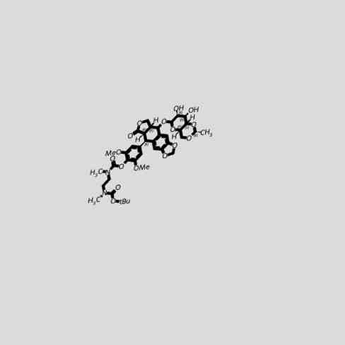 COc1cc([C@@H]2c3cc4c(cc3C(OC3O[C@@H]5CO[C@@H](C)O[C@H]5[C@H](O)[C@H]3O)[C@H]3COC(=O)[C@H]23)OCO4)cc(OC)c1OC(=O)N(C)CCN(C)C(=O)OC(C)(C)C